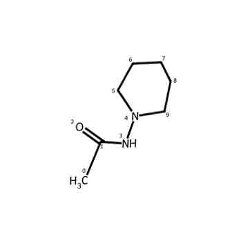 CC(=O)NN1CCCCC1